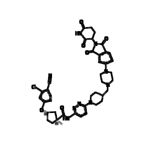 C[C@]1(C(=O)Nc2ccc(N3CCC(CN4CCN(c5ccc6c(c5)C(=O)N(C5CCC(=O)NC5=O)C6=O)CC4)CC3)nn2)CC[C@H](Oc2ccc(C#N)c(Cl)c2)C1